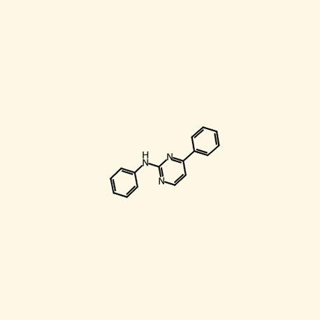 c1ccc(Nc2nccc(-c3ccccc3)n2)cc1